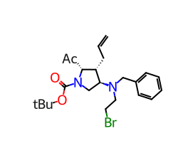 C=CC[C@H]1[C@@H](C(C)=O)N(C(=O)OC(C)(C)C)C[C@@H]1N(CCBr)Cc1ccccc1